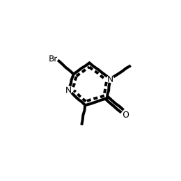 Cc1nc(Br)cn(C)c1=O